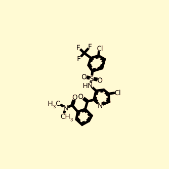 CN(C)C(=O)c1ccccc1C(=O)c1ncc(Cl)cc1NS(=O)(=O)c1ccc(Cl)c(C(F)(F)F)c1